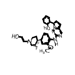 COc1cc([C@@H]2CCN(CCO)C[C@H]2F)ccc1Nc1ncc2ccc(-c3ccccc3O)n2n1